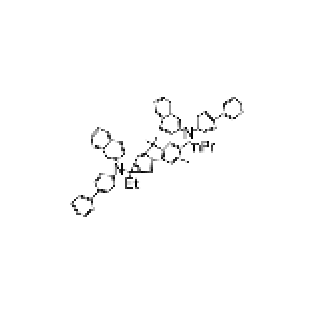 CCCC(c1cc2c(cc1C)-c1cc3c(cc1C2(C)C)C3(CC)N(c1ccc(-c2ccccc2)cc1)c1ccc2ccccc2c1)N(c1ccc(-c2ccccc2)cc1)c1ccc2ccccc2c1